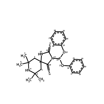 CC1(C)CC2(CC(C)(C)N1)NC(=S)N(P(Oc1ccccc1)Oc1ccccc1)C2=S